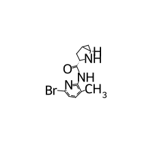 Cc1ccc(Br)nc1NC(=O)[C@@H]1CC2C[C@H]2N1